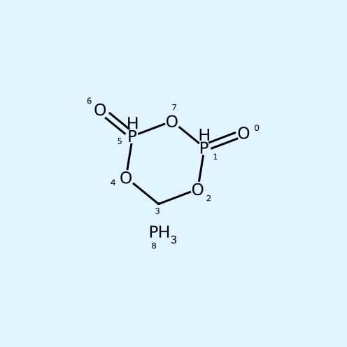 O=[PH]1OCO[PH](=O)O1.P